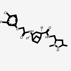 CC1CC(CNC(=O)[C@@H]2C[C@H](NC(=O)COc3ccc(Cl)c(F)c3)C3CC2C3)N(C)N1